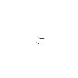 CC#N.N#CCO